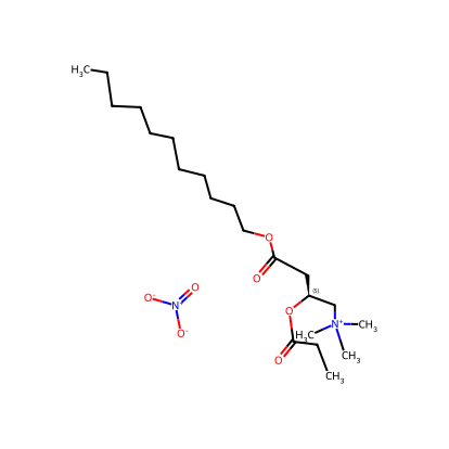 CCCCCCCCCCCOC(=O)C[C@@H](C[N+](C)(C)C)OC(=O)CC.O=[N+]([O-])[O-]